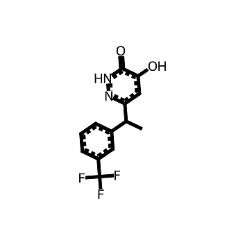 CC(c1cccc(C(F)(F)F)c1)c1cc(O)c(=O)[nH]n1